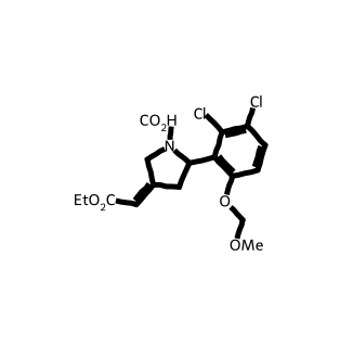 CCOC(=O)/C=C1/CC(c2c(OCOC)ccc(Cl)c2Cl)N(C(=O)O)C1